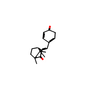 CC12CCC(C(=CC3=CCC(=O)C=C3)C1=O)C2(C)C